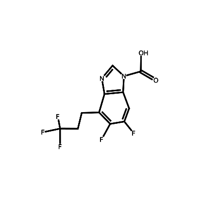 O=C(O)n1cnc2c(CCC(F)(F)F)c(F)c(F)cc21